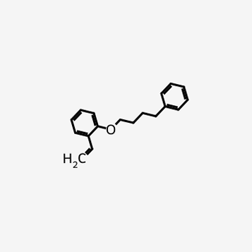 C=Cc1ccccc1OCCCCc1ccccc1